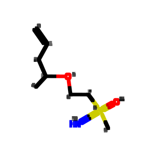 C=CCC(C)OCCS(C)(=N)=O